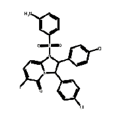 Nc1cccc(S(=O)(=O)N2c3ccc(I)c(=O)n3C(c3ccc(Cl)cc3)C2c2ccc(Cl)cc2)c1